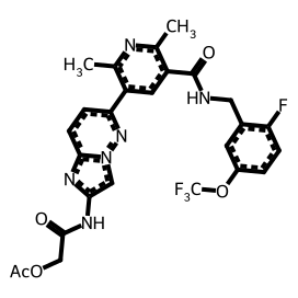 CC(=O)OCC(=O)Nc1cn2nc(-c3cc(C(=O)NCc4cc(OC(F)(F)F)ccc4F)c(C)nc3C)ccc2n1